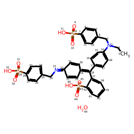 CCN(Cc1ccc(S(=O)(=O)O)cc1)c1ccc(C(=C2C=CC(=NCc3ccc(S(=O)(=O)O)cc3)C=C2)c2ccccc2S(=O)(=O)O)cc1.O